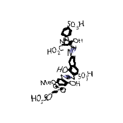 COc1cc(/N=N/c2c(S(=O)(=O)O)cc3ccc(/N=N/c4c(C(=O)O)nn(-c5ccc(S(=O)(=O)O)cc5)c4O)cc3c2O)c(O)cc1S(=O)(=O)CCOS(=O)(=O)O